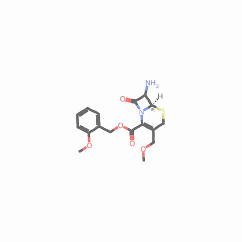 COCC1=C(C(=O)OCc2ccccc2OC)N2C(=O)C(N)[C@H]2SC1